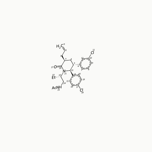 C=CC[C@H]1C[C@H](c2cccc(Cl)c2)[C@@H](c2ccc(Cl)cc2)N([C@@H](CC)CNC(C)=O)C1=O